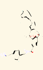 NCc1cc(F)c(CNC(=O)c2ccc3c(c2)[C@@H]2O[C@H]3c3ccc(-c4ccc(F)cc4F)cc32)c(F)c1